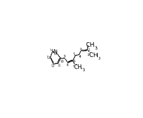 CC(C)=CCCC(C)=CCc1ccccn1